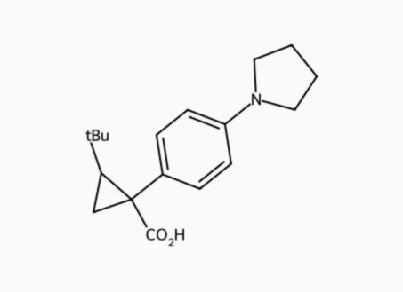 CC(C)(C)C1CC1(C(=O)O)c1ccc(N2CCCC2)cc1